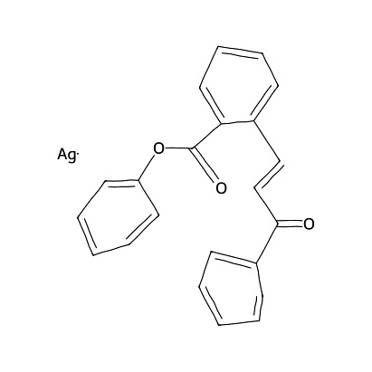 O=C(/C=C/c1ccccc1C(=O)Oc1ccccc1)c1ccccc1.[Ag]